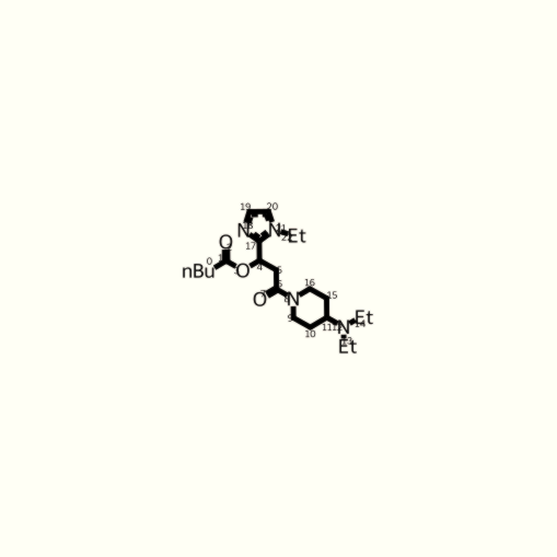 CCCCC(=O)OC(CC(=O)N1CCC(N(CC)CC)CC1)c1nccn1CC